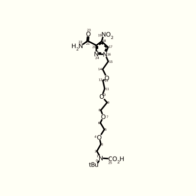 CC(C)(C)N(CCOCCOCCOCCOCCn1cc([N+](=O)[O-])c(C(N)=O)n1)C(=O)O